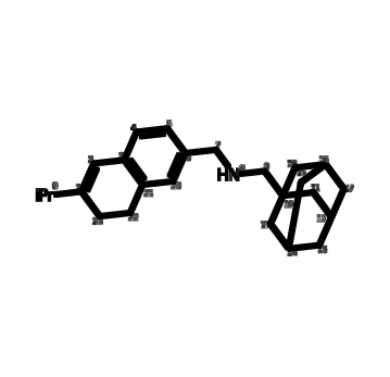 CC(C)C1=Cc2ccc(CNCC34CC5CC(CC(C5)C3)C4)cc2CC1